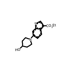 CCOC(=O)c1csc2cc(N3CCC(O)CC3)ccc12